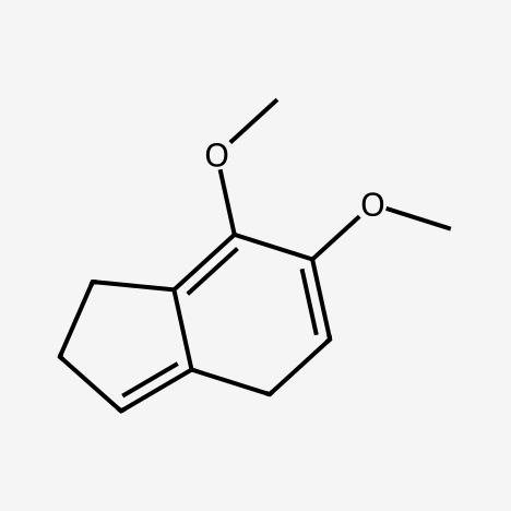 COC1=CCC2=CCCC2=C1OC